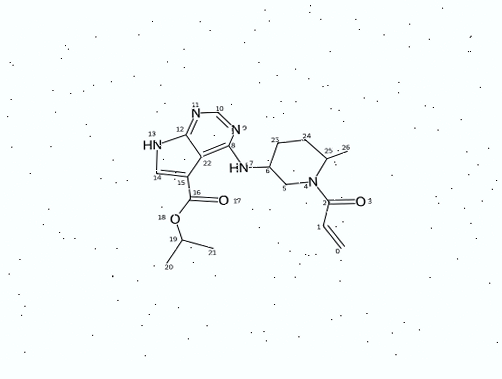 C=CC(=O)N1CC(Nc2ncnc3[nH]cc(C(=O)OC(C)C)c23)CCC1C